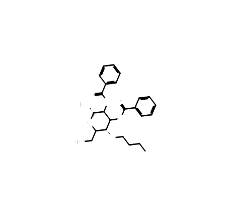 CCCCO[C@H]1C(CO)O[C@@H](S)C(OC(=O)c2ccccc2)C1OC(=O)c1ccccc1